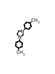 Cc1ccc(N2CCN(c3ccc(C)cc3)C2)cc1